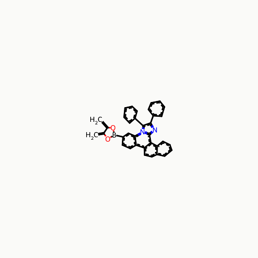 C=C1OB(c2ccc3c4ccc5ccccc5c4c4nc(-c5ccccc5)c(-c5ccccc5)n4c3c2)OC1=C